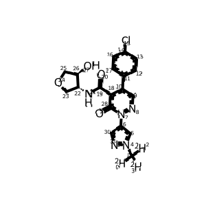 [2H]C([2H])([2H])n1cc(-n2ncc(-c3ccc(Cl)cc3)c(C(=O)N[C@@H]3COC[C@H]3O)c2=O)cn1